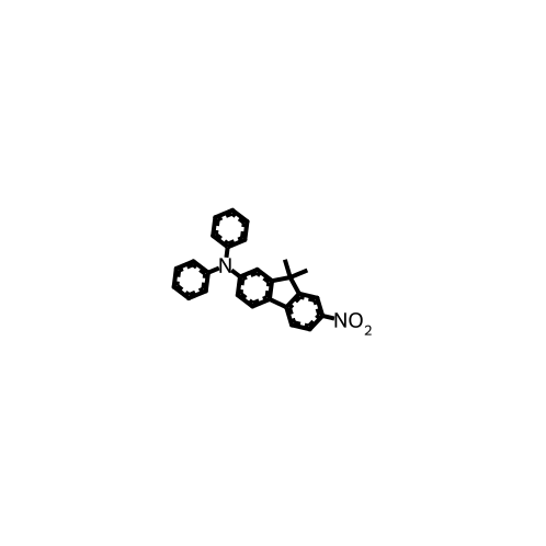 CC1(C)c2cc(N(c3ccccc3)c3ccccc3)ccc2-c2ccc([N+](=O)[O-])cc21